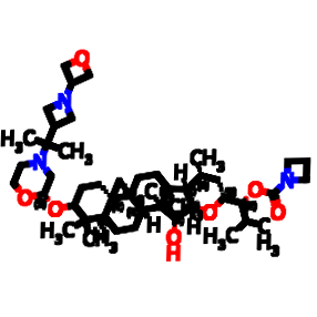 CC(C)[C@@H](OC(=O)N1CCC1)[C@H]1C[C@@H](C)[C@H]2[C@H](O1)[C@H](O)[C@@]1(C)[C@@H]3CC[C@H]4C(C)(C)C(O[C@H]5CN(C(C)(C)C6CN(C7COC7)C6)CCO5)CC[C@@]45C[C@@]35CC[C@]21C